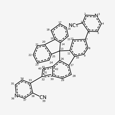 N#Cc1cnccc1-c1ccc2c(c1)C1(c3ccccc3-c3ccccc31)c1c-2ccc2cc(-c3ccncc3C#N)ccc12